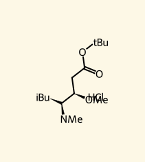 CC[C@H](C)[C@H](NC)[C@@H](CC(=O)OC(C)(C)C)OC.Cl